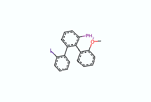 COc1ccccc1-c1c(P)cccc1-c1ccccc1I